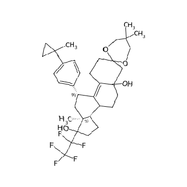 CC1(C)COC2(CCC3=C4C(CCC3(O)C2)C2CCC(O)(C(F)(F)C(F)(F)F)[C@@]2(C)C[C@@H]4c2ccc(C3(C)CC3)cc2)OC1